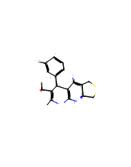 COC(=O)C1=C(C)Nc2nc3c(c(N)c2C1c1cccc([N+](=O)[O-])c1)CSC3